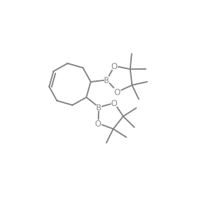 CC1(C)OB(C2CC/C=C\CCC2B2OC(C)(C)C(C)(C)O2)OC1(C)C